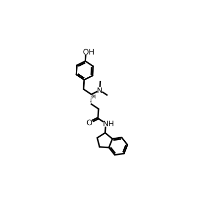 CN(C)[C@H](CCC(=O)NC1CCc2ccccc21)Cc1ccc(O)cc1